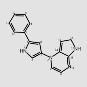 C1=CN(c2c[nH]c(-c3ccccc3)c2)C2=CCNC2=N1